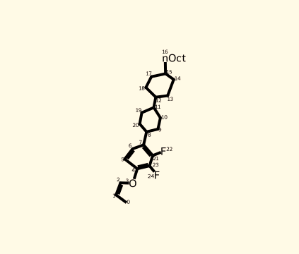 C/C=C\Oc1ccc(C2CCC(C3CCC(CCCCCCCC)CC3)CC2)c(F)c1F